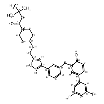 CC(C)(C)OC(=O)N1CCC(NCc2nc(-c3cccc(Cn4nc(-c5cc(F)cc(F)c5)ccc4=O)c3)no2)CC1